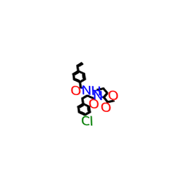 C=Cc1ccc(C(=O)NC(Cc2ccc(Cl)cc2)C(=O)N2CCC3OCC(=O)C32)cc1